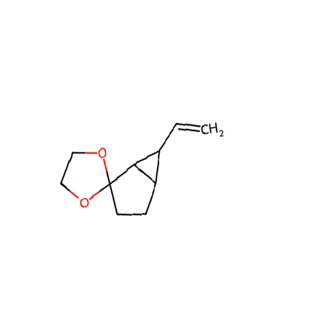 C=CC1C2CCC3(OCCO3)C12